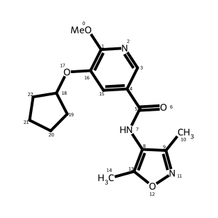 COc1ncc(C(=O)Nc2c(C)noc2C)cc1OC1CCCC1